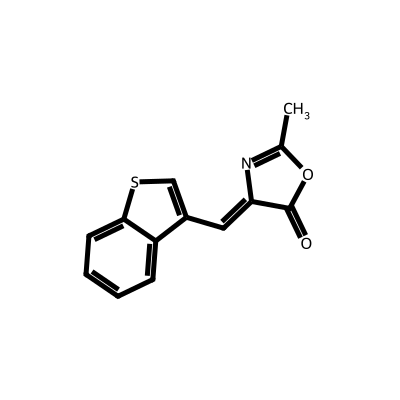 CC1=NC(=Cc2csc3ccccc23)C(=O)O1